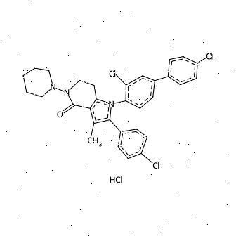 Cc1c2c(n(-c3ccc(-c4ccc(Cl)cc4)cc3Cl)c1-c1ccc(Cl)cc1)CCN(N1CCCCC1)C2=O.Cl